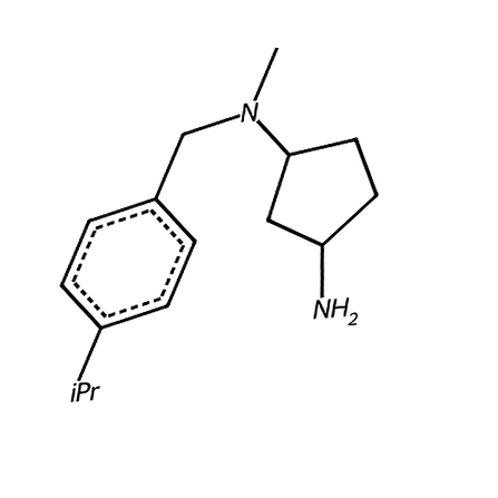 CC(C)c1ccc(CN(C)C2CCC(N)C2)cc1